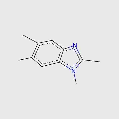 Cc1cc2nc(C)n(C)c2cc1C